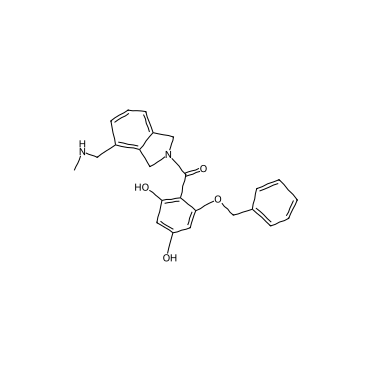 CNCc1cccc2c1CN(C(=O)c1c(O)cc(O)cc1OCc1ccccc1)C2